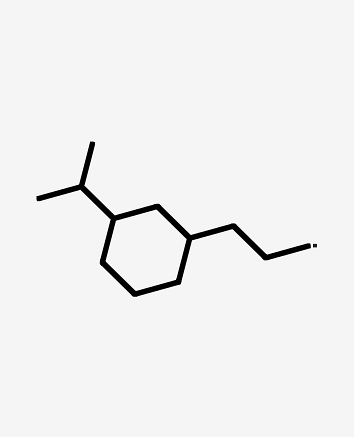 [CH2]CCC1CCCC(C(C)C)C1